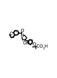 CC(C)(Oc1ccc(C2(O)CCN(C(=O)c3ccc4ccccc4c3)CC2)cc1)C(=O)O